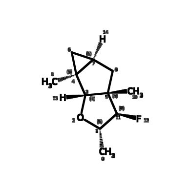 C[C@@H]1O[C@@H]2[C@@]3(C)C[C@H]3C[C@]2(C)[C@H]1F